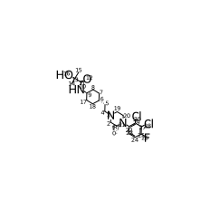 C[C@@H]1CN(CC[C@H]2CC[C@H](NC(=O)C(C)(C)O)CC2)CCN1c1ccc(F)c(Cl)c1Cl